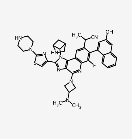 CC(C#N)c1cc2c(nc(N3CC(N(C)C)C3)c3nc(-c4csc(N5CCNCC5)n4)n(C4C5CNC4C5)c32)c(F)c1-c1cc(O)cc2ccccc12